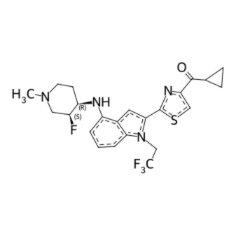 CN1CC[C@@H](Nc2cccc3c2cc(-c2nc(C(=O)C4CC4)cs2)n3CC(F)(F)F)[C@@H](F)C1